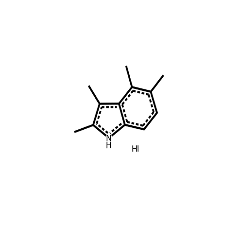 Cc1ccc2[nH]c(C)c(C)c2c1C.I